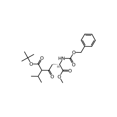 COC(=O)[C@H](CC(=O)C(C(=O)OC(C)(C)C)C(C)C)NC(=O)OCc1ccccc1